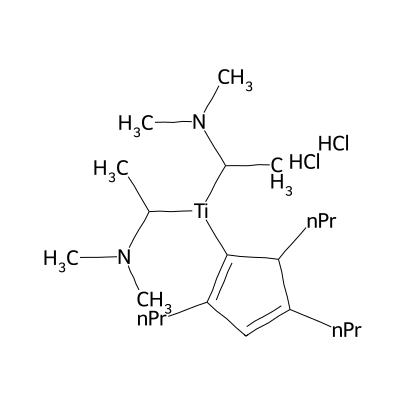 CCCC1=CC(CCC)=[C]([Ti]([CH](C)N(C)C)[CH](C)N(C)C)C1CCC.Cl.Cl